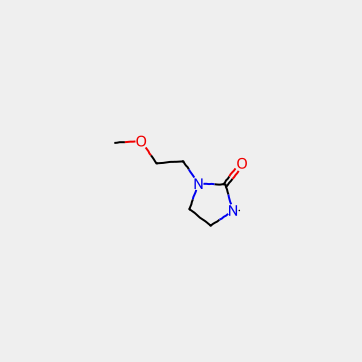 COCCN1CC[N]C1=O